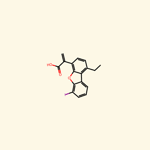 C=C(C(=O)O)c1ccc(CC)c2c1oc1c(I)cccc12